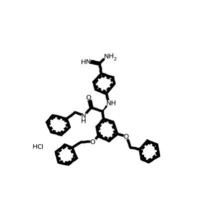 Cl.N=C(N)c1ccc(N[C@H](C(=O)NCc2ccccc2)c2cc(OCc3ccccc3)cc(OCc3ccccc3)c2)cc1